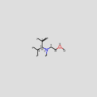 C=C(C)[C@H](C(C)C)N(C)CCOC